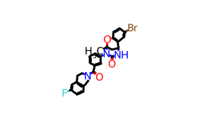 CC12CC(NC(=O)N1c1cccc(C(=O)N3CCc4cc(F)ccc4C3)c1)c1cc(Br)ccc1O2